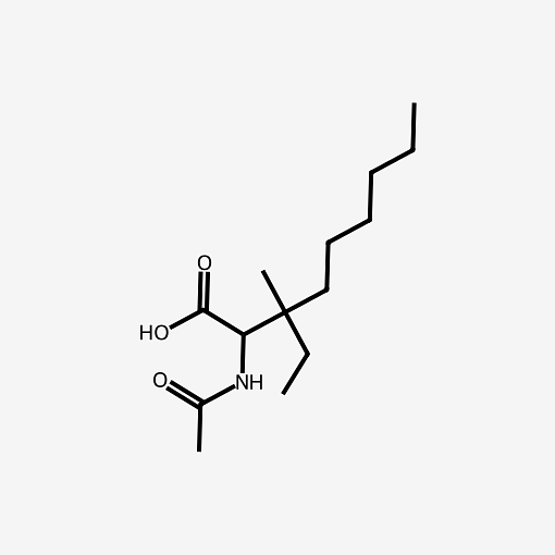 CCCCCCC(C)(CC)C(NC(C)=O)C(=O)O